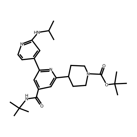 CC(C)Nc1cc(-c2cc(C(=O)NC(C)(C)C)cc(C3CCN(C(=O)OC(C)(C)C)CC3)n2)ccn1